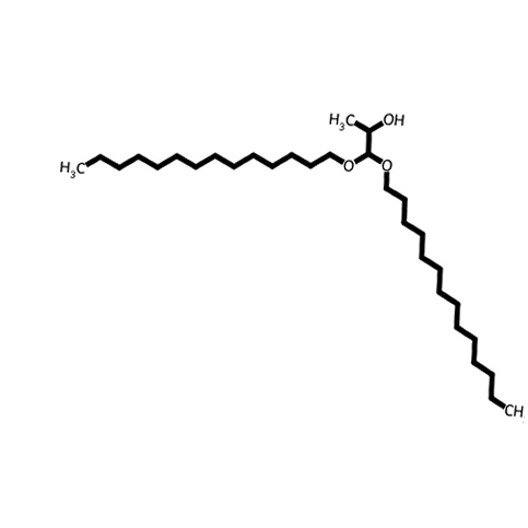 CCCCCCCCCCCCCCOC(OCCCCCCCCCCCCCC)C(C)O